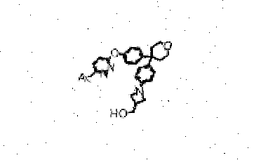 CC(=O)c1ccc(Oc2ccc(C3(c4ccc(N5CC(CO)C5)cc4)CCOCC3)cc2)nn1